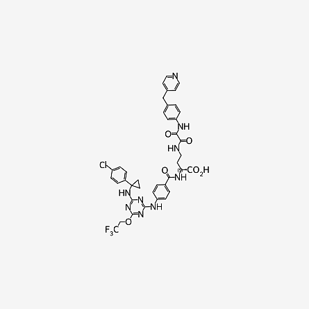 O=C(NCC[C@H](NC(=O)c1ccc(Nc2nc(NC3(c4ccc(Cl)cc4)CC3)nc(OCC(F)(F)F)n2)cc1)C(=O)O)C(=O)Nc1ccc(Cc2ccncc2)cc1